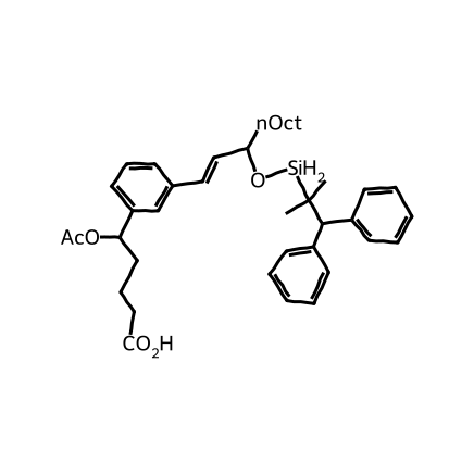 CCCCCCCCC(/C=C/c1cccc(C(CCCC(=O)O)OC(C)=O)c1)O[SiH2]C(C)(C)C(c1ccccc1)c1ccccc1